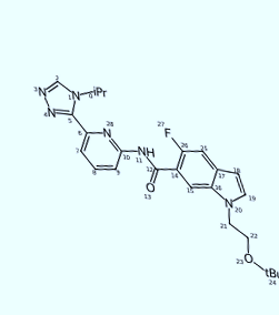 CC(C)n1cnnc1-c1cccc(NC(=O)c2cc3c(ccn3CCOC(C)(C)C)cc2F)n1